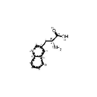 N[C@H](Cc1cnc2ccccc2c1)C(=O)O